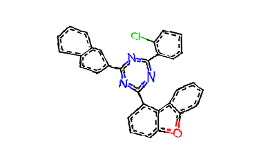 Clc1ccccc1-c1nc(-c2ccc3ccccc3c2)nc(-c2cccc3oc4ccccc4c23)n1